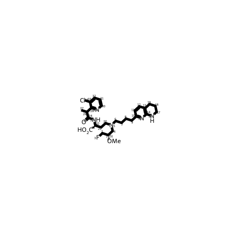 CO[C@H](CF)CN(CCCCc1ccc2c(n1)NCCC2)CC[C@H](NC(=O)C(C)c1ncccc1Cl)C(=O)O